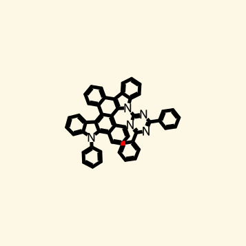 c1ccc(-c2nc(-c3ccccc3)nc(-n3c4ccccc4c4c5ccccc5c5c6c7ccccc7n(-c7ccccc7)c6c6ccccc6c5c43)n2)cc1